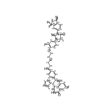 Cn1ncnc1[C@H]1c2n[nH]c(=O)c3cc(F)cc(c23)N[C@@H]1c1ccc(NCCOCCOc2ccc(N3C(=S)N(c4ccc(C#N)c(C(F)(F)F)c4)C(=O)C3(C)C)cc2F)cc1